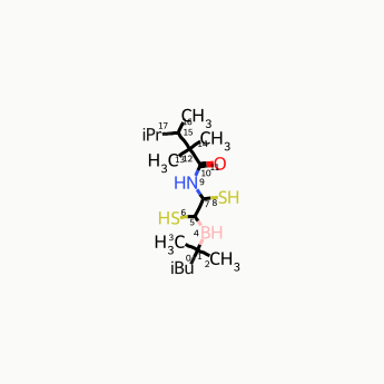 CCC(C)C(C)(C)BC(S)C(S)NC(=O)C(C)(C)C(C)C(C)C